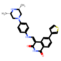 C[C@@H]1CN(c2ccc(N/C=C3\C(=O)NC(=O)c4ccc(-c5ccsc5)cc43)cc2)C[C@H](C)N1